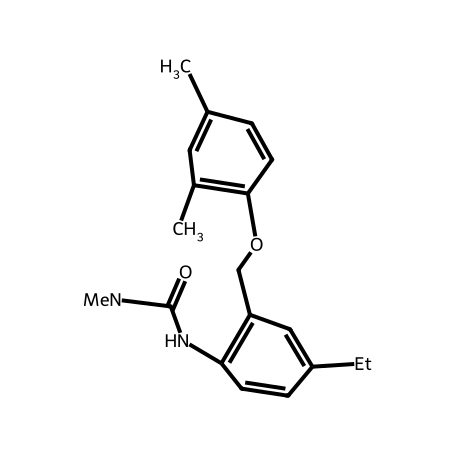 CCc1ccc(NC(=O)NC)c(COc2ccc(C)cc2C)c1